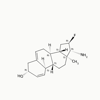 C[C@]12CC[C@H]3[C@@H](CC=C4C[C@@H](O)C=C[C@@H]43)[C@@H]1C[C@@H](F)[C@@H]2N